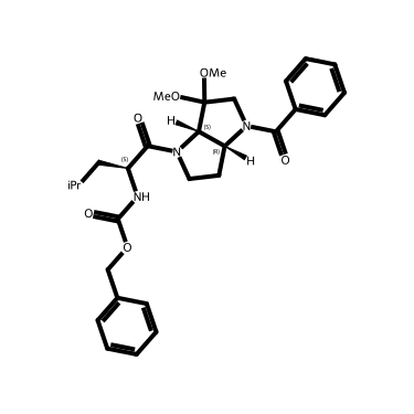 COC1(OC)CN(C(=O)c2ccccc2)[C@@H]2CCN(C(=O)[C@H](CC(C)C)NC(=O)OCc3ccccc3)[C@@H]21